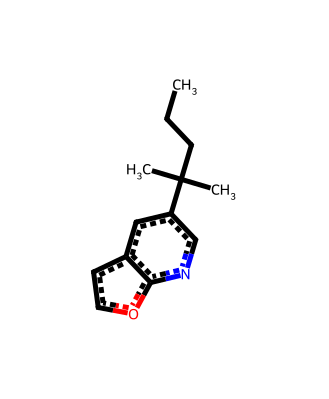 CCCC(C)(C)c1cnc2occc2c1